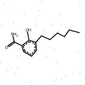 CCCCCCc1cccc(C(N)=O)c1O